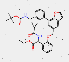 CCOC(=O)C(NC(=O)C1CC1)c1ccccc1OCc1cc(-c2cccc(CNC(=O)OC(C)(C)C)c2)c2occc2c1